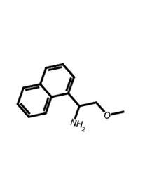 COCC(N)c1cccc2ccccc12